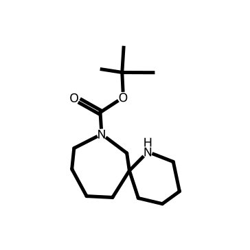 CC(C)(C)OC(=O)N1CCCCC2(CCCCN2)C1